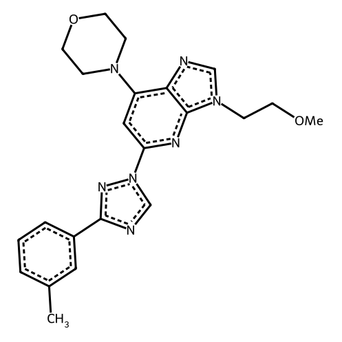 COCCn1cnc2c(N3CCOCC3)cc(-n3cnc(-c4cccc(C)c4)n3)nc21